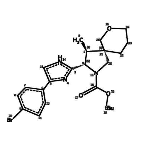 C[C@@H]1[C@@H](c2nc(-c3ccc(Br)cc3)c[nH]2)N(C(=O)OC(C)(C)C)C[C@]12CCCOC2